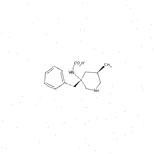 C[C@H]1CNC[C@](Cc2ccccc2)(NC(=O)O)C1